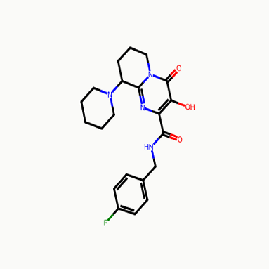 O=C(NCc1ccc(F)cc1)c1nc2n(c(=O)c1O)CCCC2N1CCCCC1